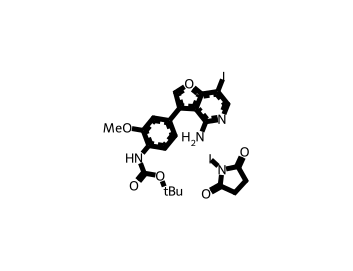 COc1cc(-c2coc3c(I)cnc(N)c23)ccc1NC(=O)OC(C)(C)C.O=C1CCC(=O)N1I